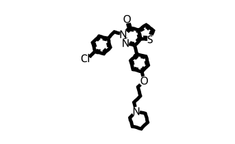 O=c1c2ccsc2c(-c2ccc(OCCCN3CCCCC3)cc2)nn1Cc1ccc(Cl)cc1